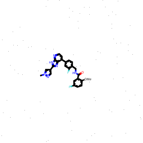 COc1ccc(F)cc1C(=O)NCc1ccc(-c2ccnc3[nH]c(-c4cnn(C)c4)nc23)cc1F